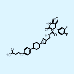 O=C(O)CCOc1ccc(C2CCC(N3CC(CNC(=O)N4C(=O)Nc5cocc5[C@@H]4c4ccc(F)c(F)c4)C3)CC2)cc1